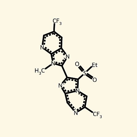 CCS(=O)(=O)c1c(-c2nc3cc(C(F)(F)F)cnc3n2C)nc2cnc(C(F)(F)F)cn12